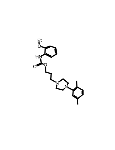 CCOc1ccccc1NC(=O)OCCCN1CCN(c2cc(C)ccc2C)CC1